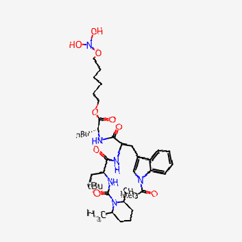 CCCC[C@@H](NC(=O)C(Cc1cn(C(=O)OC)c2ccccc12)NC(=O)C(CC(C)(C)C)NC(=O)N1C(C)CCCC1C)C(=O)OCCCCCCON(O)O